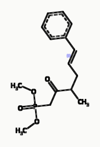 COP(=O)(CC(=O)C(C)C/C=C/c1ccccc1)OC